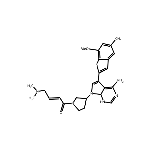 COc1cc(C)cc2cc(C3=CN(C4CCN(C(=O)/C=C/CN(C)C)C4)C4NC=NC(N)=C34)sc12